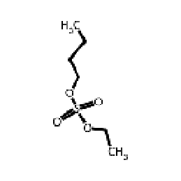 CCCCOS(=O)(=O)OCC